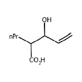 C=CC(O)C(CCC)C(=O)O